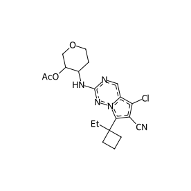 CCC1(c2c(C#N)c(Cl)c3cnc(NC4CCOCC4OC(C)=O)nn23)CCC1